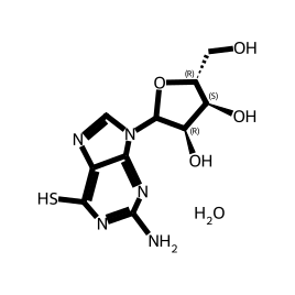 Nc1nc(S)c2ncn(C3O[C@H](CO)[C@@H](O)[C@H]3O)c2n1.O